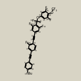 CCCCc1ccc(C#Cc2ccc(C#Cc3cc(F)c(C(F)(F)Oc4cc(F)c(OC(F)(F)F)c(F)c4)c(F)c3)c(F)c2)cc1